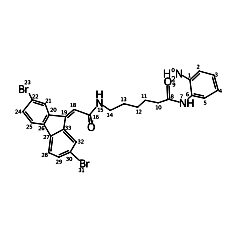 Nc1ccccc1NC(=O)CCCCCNC(=O)C=C1c2cc(Br)ccc2-c2ccc(Br)cc21